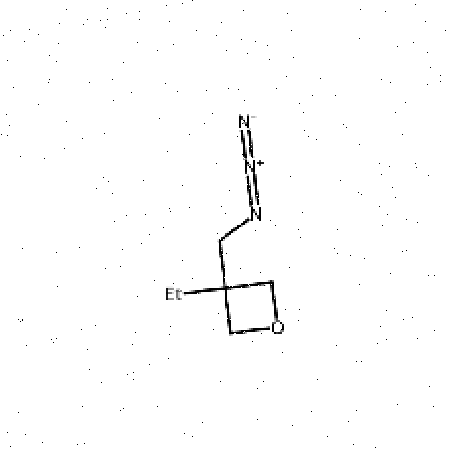 CCC1(CN=[N+]=[N-])COC1